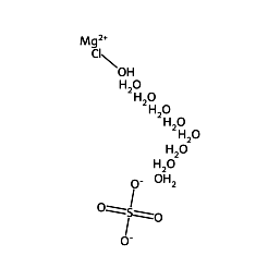 O.O.O.O.O.O.O.O.O=S(=O)([O-])[O-].OCl.[Mg+2]